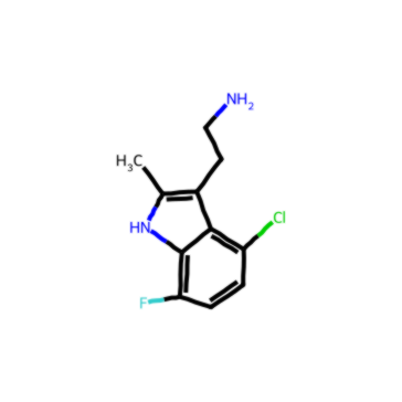 Cc1[nH]c2c(F)ccc(Cl)c2c1CCN